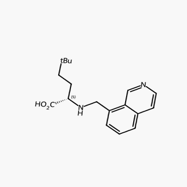 CC(C)(C)CC[C@H](NCc1cccc2ccncc12)C(=O)O